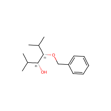 CC(C)[C@@H](O)[C@@H](OCc1ccccc1)C(C)C